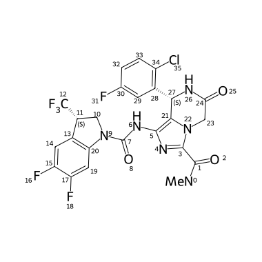 CNC(=O)c1nc(NC(=O)N2C[C@@H](C(F)(F)F)c3cc(F)c(F)cc32)c2n1CC(=O)N[C@H]2c1cc(F)ccc1Cl